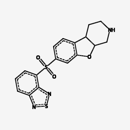 O=S(=O)(c1ccc2c(c1)OC1CNCCC21)c1cccc2nsnc12